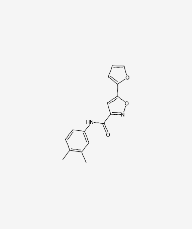 Cc1ccc(NC(=O)c2cc(-c3ccco3)on2)cc1C